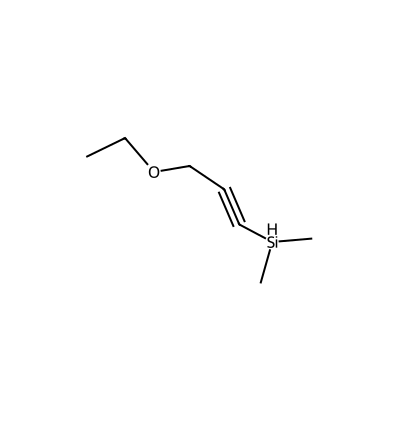 CCOCC#C[SiH](C)C